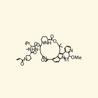 C=CC(=O)N1CC[C@H](C(=O)N(C)[C@H](C(=O)N[C@H]2Cc3nc(co3)-c3ccc4c(c3)c(c(-c3cccnc3[C@H](C)OC)n4CC)CC(C)(C)COC(=O)[C@@]3(C)CCCN(N3)C2=O)C(C)C)C1